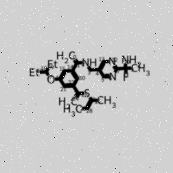 C=C(NCc1cnc(C(C)(N)F)nc1)c1cc(OC(CC)CC)cc(C(=C)S/C(C)=C\C)c1